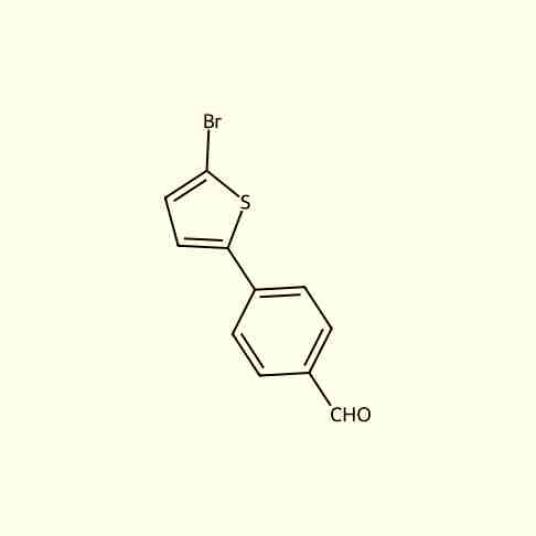 O=Cc1ccc(-c2ccc(Br)s2)cc1